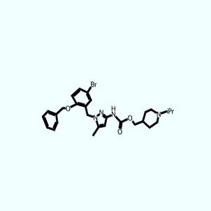 Cc1cc(NC(=O)OCC2CCN(C(C)C)CC2)nn1Cc1cc(Br)ccc1OCc1ccccc1